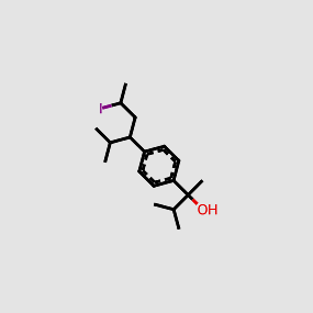 CC(I)CC(c1ccc(C(C)(O)C(C)C)cc1)C(C)C